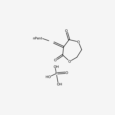 C=C1C(=O)OCCOC1=O.CCCCCC.O=P(O)(O)O